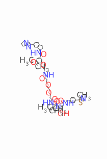 COc1cc(C(=O)N[C@@H]2CCc3ccc(-c4cn5c(n4)CCC5)cc32)cc(OCCCNC(=O)CCOCCOCCC(=O)NC(C(=O)N2C[C@H](O)C[C@H]2C(=O)NCc2ccc(-c3scnc3C)cc2)C(C)(C)C)c1C